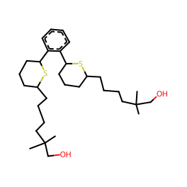 CC(C)(CO)CCCCC1CCCC(c2ccccc2C2CCCC(CCCCC(C)(C)CO)S2)S1